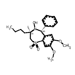 CCCC[C@]1(I)CS(=O)(=O)c2cc(OC)c(OC)cc2[C@@H](c2ccccc2)N1O